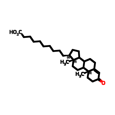 C[C@]12CCC(=O)C=C1CCC1C2CC[C@@]2(C)C1CC[C@@H]2CCCCCCCCCC(=O)O